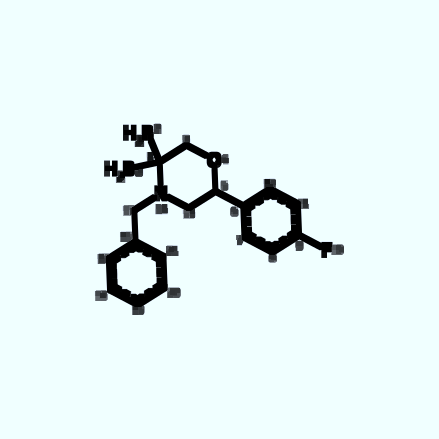 BC1(B)COC(c2ccc(F)cc2)CN1Cc1ccccc1